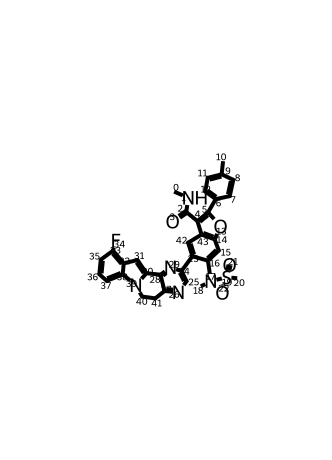 CNC(=O)c1c(-c2ccc(C)cc2)oc2cc(N(C)S(C)(=O)=O)c(-c3cnc4c(n3)-c3cc5c(F)cccc5n3CC4)cc12